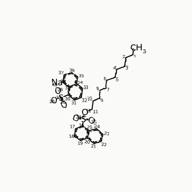 CCCCCCCCCCCCOS(=O)(=O)c1cccc2ccccc12.O=S(=O)([O-])c1cccc2ccccc12.[Na+]